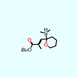 CC(=CC1([SiH](C)C)CCCCO1)C(=O)OCC(C)C